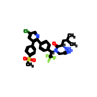 CC(C)C[C@H](N)C(=O)N(CC#N)[C@@H](c1ccc(-c2ncc(Cl)cc2-c2ccc(S(C)(=O)=O)cc2)cc1)C(F)(F)F